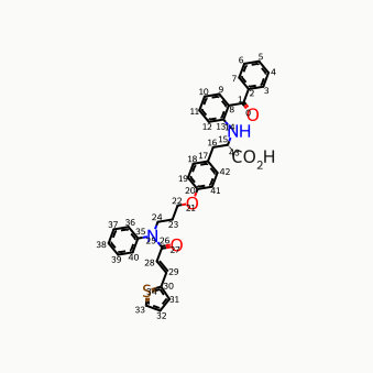 O=C(c1ccccc1)c1ccccc1N[C@@H](Cc1ccc(OCCCN(C(=O)/C=C/c2cccs2)c2ccccc2)cc1)C(=O)O